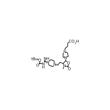 CN1C(=O)OC(N2CCN(CCCC(=O)O)CC2)C1CCN1CCN(C(=N)NC(=O)OC(C)(C)C)CC1